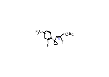 CC(=O)OC/C(F)=C/C1(c2ccc(C(F)(F)F)cc2F)CC1